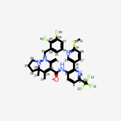 C=C1C(C(=O)Nc2ccc(C(F)(F)F)nc2-c2ccc(SC)nc2)=C(C)C2(C)CCCN2N1Cc1cccc(F)c1F